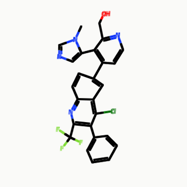 Cn1cncc1-c1c(-c2ccc3nc(C(F)(F)F)c(-c4ccccc4)c(Cl)c3c2)ccnc1CO